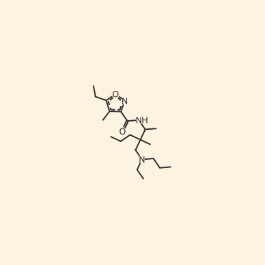 CCCN(CC)CC(C)(CCC)C(C)NC(=O)c1noc(CC)c1C